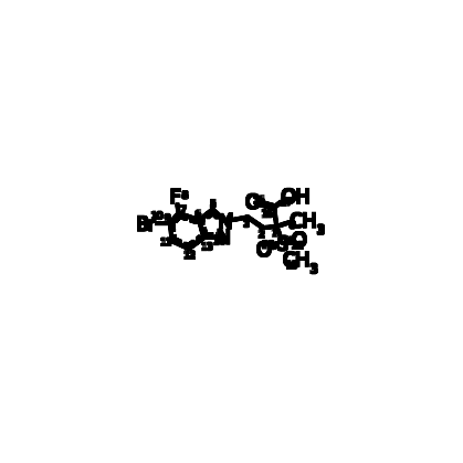 CC(CCn1cc2c(F)c(Br)ccc2n1)(C(=O)O)S(C)(=O)=O